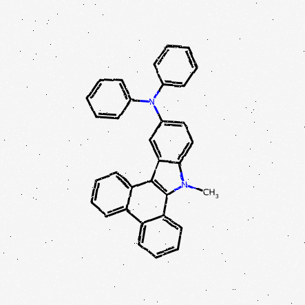 Cn1c2ccc(N(c3ccccc3)c3ccccc3)cc2c2c3ccccc3c3ccccc3c21